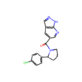 O=C(c1cnc2[nH]ncc2c1)N1CCCC1c1ccc(Cl)cc1